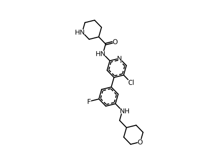 O=C(Nc1cc(-c2cc(F)cc(NCC3CCOCC3)c2)c(Cl)cn1)C1CCCNC1